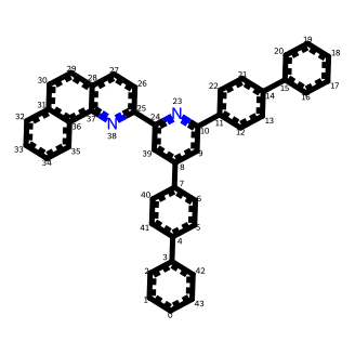 c1ccc(-c2ccc(-c3cc(-c4ccc(-c5ccccc5)cc4)nc(-c4ccc5ccc6ccccc6c5n4)c3)cc2)cc1